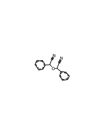 N#CC(OC(C#N)c1ccccc1)c1ccccc1